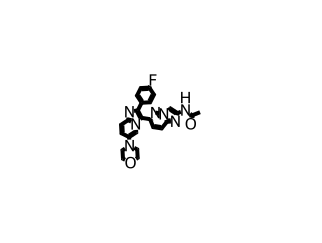 CC(=O)Nc1cn2nc(-c3c(-c4ccc(F)cc4)nc4ccc(N5CCOCC5)cn34)ccc2n1